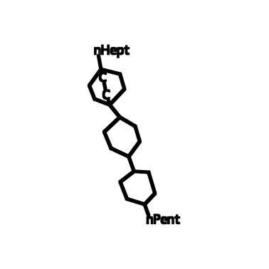 CCCCCCCC12CCC(C3CCC(C4CCC(CCCCC)CC4)CC3)(CC1)CC2